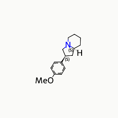 COc1ccc([C@@H]2C[C@@H]3CCCCN3C2)cc1